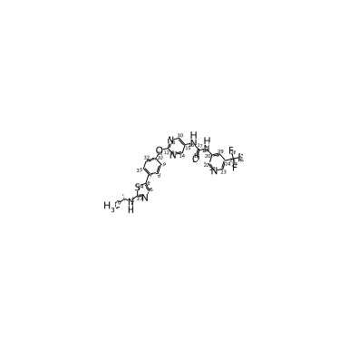 CCNc1ncc(-c2ccc(Oc3ncc(NC(=O)Nc4cncc(C(F)(F)F)c4)cn3)cc2)s1